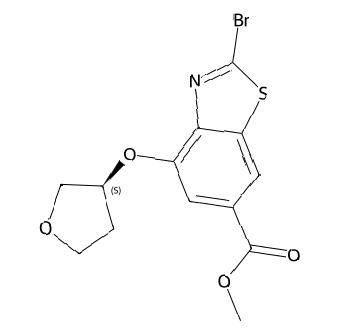 COC(=O)c1cc(O[C@H]2CCOC2)c2nc(Br)sc2c1